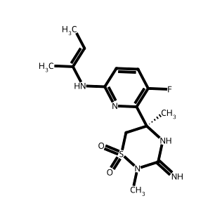 CC=C(C)Nc1ccc(F)c([C@]2(C)CS(=O)(=O)N(C)C(=N)N2)n1